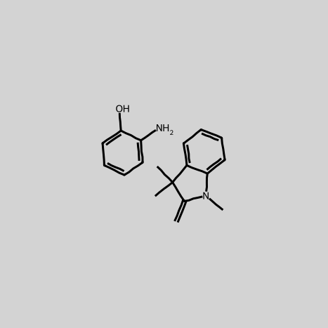 C=C1N(C)c2ccccc2C1(C)C.Nc1ccccc1O